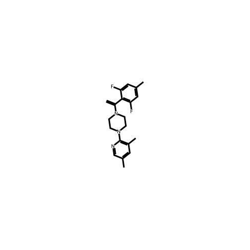 C=C(c1c(F)cc(C)cc1F)N1CCN(c2ncc(C)cc2C)CC1